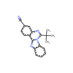 CC(C)(C)c1nc2cc(C#N)ccc2c2nc3ccccc3n12